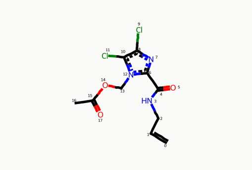 C=CCNC(=O)c1nc(Cl)c(Cl)n1COC(C)=O